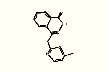 Cc1ccnc(Cc2n[nH]c(=O)c3ccccc23)c1